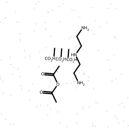 CC(=O)O.CC(=O)O.CC(=O)O.CC(=O)OC(C)=O.NCCNCCN